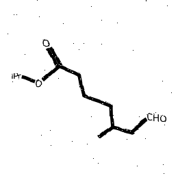 CC(CC=O)CCCC(=O)OC(C)C